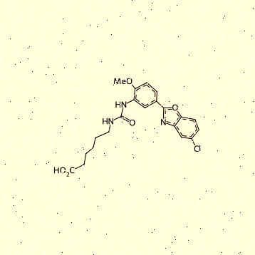 COc1ccc(-c2nc3cc(Cl)ccc3o2)cc1NC(=O)NCCCCCC(=O)O